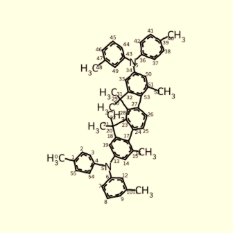 Cc1ccc(N(c2cccc(C)c2)c2cc(C)c3c(c2)C(C)(C)c2c-3ccc3c2C(C)(C)c2cc(N(c4ccc(C)cc4)c4cccc(C)c4)cc(C)c2-3)cc1